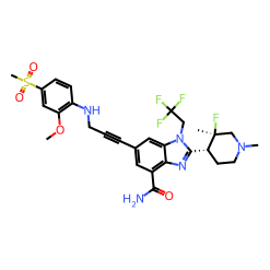 COc1cc(S(C)(=O)=O)ccc1NCC#Cc1cc(C(N)=O)c2nc([C@H]3CCN(C)C[C@]3(C)F)n(CC(F)(F)F)c2c1